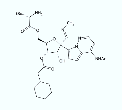 CN=C[C@@]1(c2ccc3c(NC(C)=O)ncnn23)O[C@H](COC(=O)[C@@H](N)C(C)(C)C)[C@@H](OC(=O)CC2CCCCC2)[C@H]1O